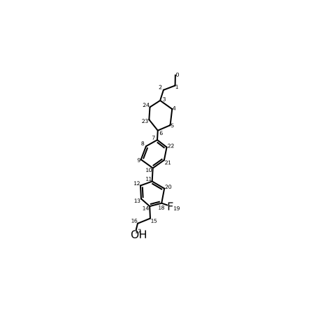 CCCC1CCC(c2ccc(-c3ccc(CCO)c(F)c3)cc2)CC1